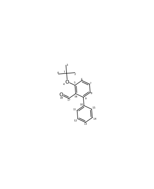 CC(C)(C)Oc1cccc(-c2ccccc2)c1C=O